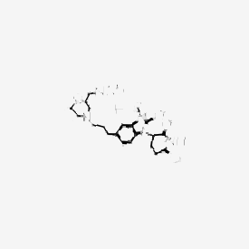 CNCC1CN(CCCc2ccc3c(c2)n(C)c(=O)n3C2CCC(=O)NC2=O)CCO1